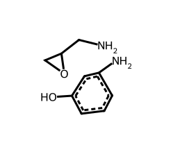 NCC1CO1.Nc1cccc(O)c1